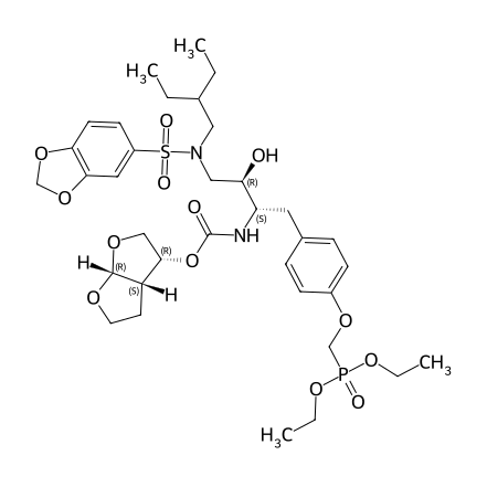 CCOP(=O)(COc1ccc(C[C@H](NC(=O)O[C@H]2CO[C@H]3OCC[C@H]32)[C@H](O)CN(CC(CC)CC)S(=O)(=O)c2ccc3c(c2)OCO3)cc1)OCC